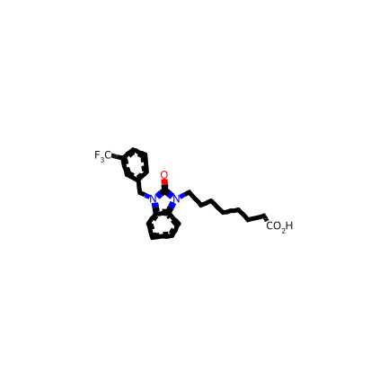 O=C(O)CCCCCCCn1c(=O)n(Cc2cccc(C(F)(F)F)c2)c2ccccc21